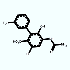 NC(=O)Nc1cc(Cl)c(C(=O)O)c(-c2cccc(C(F)(F)F)c2)c1O